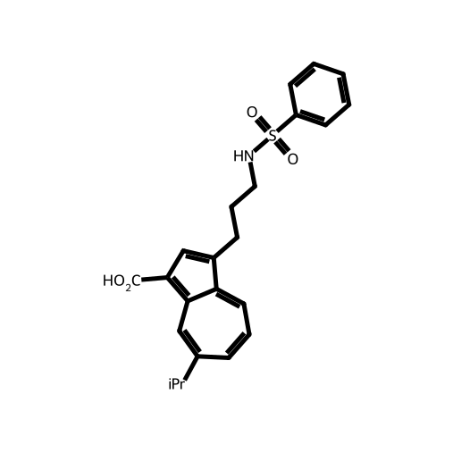 CC(C)c1cccc2c(CCCNS(=O)(=O)c3ccccc3)cc(C(=O)O)c-2c1